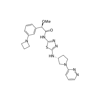 CO[C@@H](C(=O)Nc1nnc(N[C@@H]2CCN(c3cccnn3)C2)s1)c1cccc(N2CCC2)c1